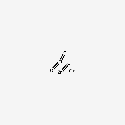 [Cu].[O]=[Ti]=[O].[O]=[Zn]